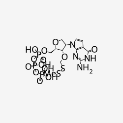 CSSCO[C@H]1[C@H](n2ccc3c(=O)[nH]c(N)nc32)CO[C@@H]1COP(=O)(O)OP(=O)(O)OP(=O)(O)O